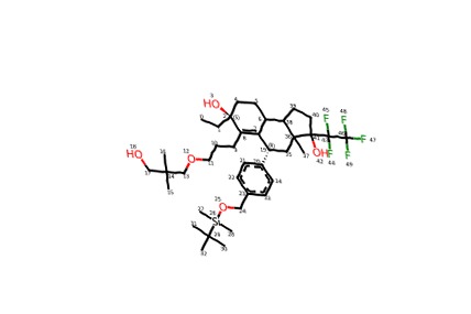 CC[C@]1(O)CCC2C(=C1CCCOCC(C)(C)CO)[C@@H](c1ccc(CO[Si](C)(C)C(C)(C)C)cc1)CC1(C)C2CCC1(O)C(F)(F)C(F)(F)F